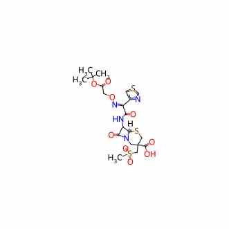 CC(C)(C)OC(=O)CON=C(C(=O)NC1C(=O)N2CC(CS(C)(=O)=O)(C(=O)O)CS[C@H]12)c1cscn1